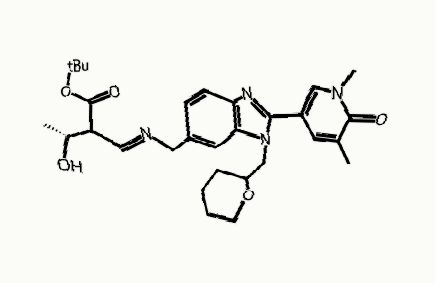 Cc1cc(-c2nc3ccc(C/N=C/C(C(=O)OC(C)(C)C)[C@@H](C)O)cc3n2CC2CCCCO2)cn(C)c1=O